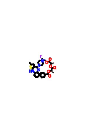 Cc1cc2c(s1)Nc1ccccc1N=C2N1CC[N+](C)(COC(=O)[C@H](C)OC(=O)[C@H](C)OC(=O)c2ccccc2)CC1.[I-]